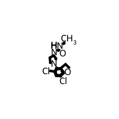 CCNC(=O)N[C@H]1CCN(c2c(Cl)cc(Cl)c3c2CCO3)C1